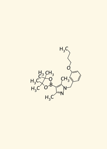 CCCCOc1cccc(Cn2nc(C)c(B3OC(C)(C)C(C)(C)O3)c2C)c1